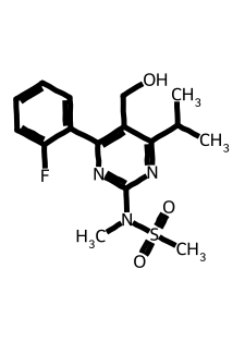 CC(C)c1nc(N(C)S(C)(=O)=O)nc(-c2ccccc2F)c1CO